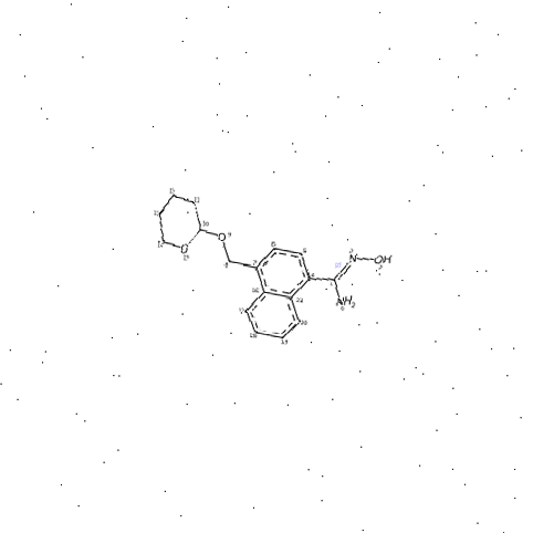 N/C(=N\O)c1ccc(COC2CCCCO2)c2ccccc12